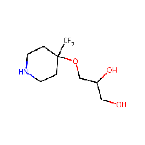 OCC(O)COC1(C(F)(F)F)CCNCC1